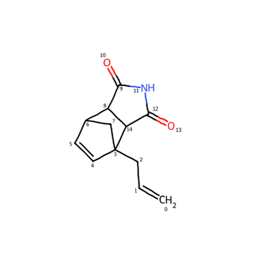 C=CCC12C=CC(C1)C1C(=O)NC(=O)C12